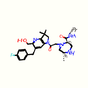 CC(C)NC(=O)[C@H]1CN[C@H](C)CN1CC(=O)N1CC(C)(C)c2nc(CO)c(Cc3ccc(F)cc3)cc21